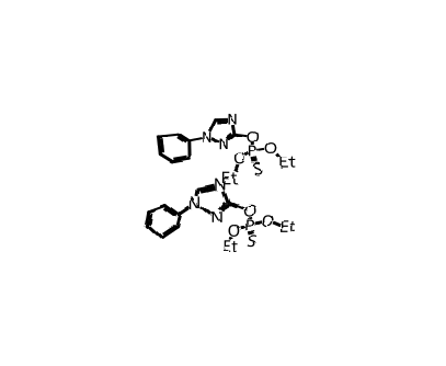 CCOP(=S)(OCC)Oc1ncn(-c2ccccc2)n1.CCOP(=S)(OCC)Oc1ncn(-c2ccccc2)n1